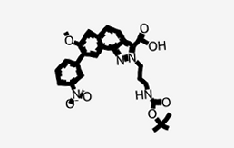 COc1cc2ccc3c(C(=O)O)n(CCCNC(=O)OC(C)(C)C)nc3c2cc1-c1cccc([N+](=O)[O-])c1